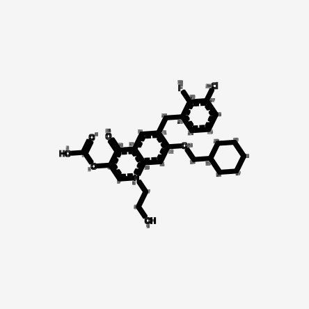 O=C(O)Oc1cn(CCO)c2cc(OCC3CCCCC3)c(Cc3cccc(Cl)c3F)cc2c1=O